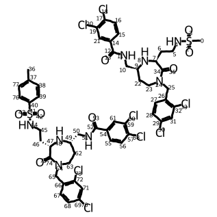 CS(=O)(=O)NCC[C@@H]1N[C@H](CNC(=O)c2ccc(Cl)c(Cl)c2)CCN(Cc2ccc(Cl)cc2Cl)C1=O.Cc1ccc(S(=O)(=O)NCC[C@@H]2N[C@H](CNC(=O)c3ccc(Cl)c(Cl)c3)CCN(Cc3ccc(Cl)cc3Cl)C2=O)cc1